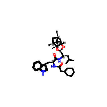 CC(C)C[C@H](NC(=O)[C@H](Cc1c[nH]c2ccccc12)NC(=O)CC1CCCCC1)B1O[C@@H]2C[C@@H]3C[C@@H](C3(C)C)[C@]2(C)O1